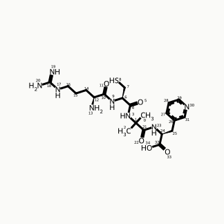 CC(C)(NC(=O)[C@H](CS)NC(=O)[C@@H](N)CCCNC(=N)N)C(=O)N[C@@H](Cc1cccnc1)C(=O)O